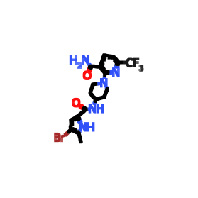 Cc1[nH]c(C(=O)NC2CCN(c3nc(C(F)(F)F)ccc3C(N)=O)CC2)cc1Br